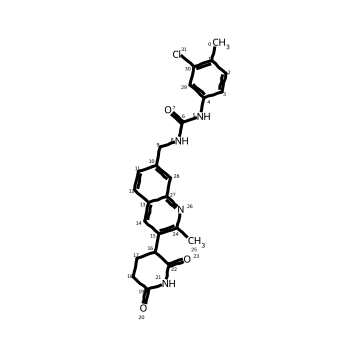 Cc1ccc(NC(=O)NCc2ccc3cc(C4CCC(=O)NC4=O)c(C)nc3c2)cc1Cl